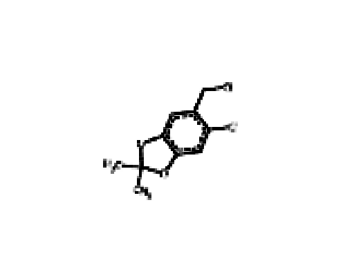 CC1(C)Oc2cc(Cl)c(CCl)cc2O1